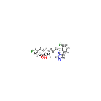 CC(C)(O)C(CCCF)CCCCCC1c2c(F)cccc2-c2cncn21